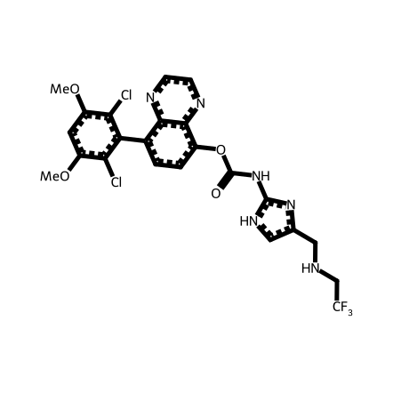 COc1cc(OC)c(Cl)c(-c2ccc(OC(=O)Nc3nc(CNCC(F)(F)F)c[nH]3)c3nccnc23)c1Cl